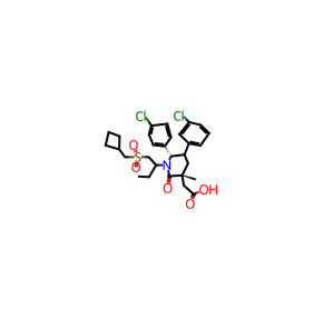 CCC(CS(=O)(=O)CC1CCC1)N1C(=O)[C@@](C)(CC(=O)O)CC(c2cccc(Cl)c2)[C@H]1c1ccc(Cl)cc1